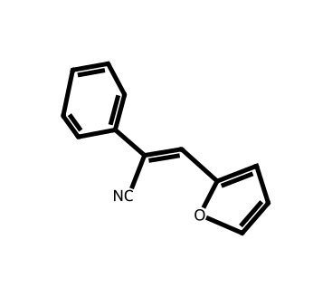 N#C/C(=C\c1ccco1)c1ccccc1